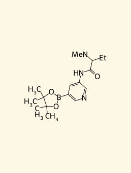 CCC(NC)C(=O)Nc1cncc(B2OC(C)(C)C(C)(C)O2)c1